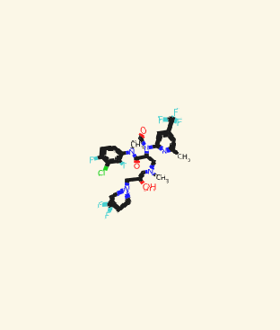 Cc1cc(C(F)(F)F)cc(N(C=O)C(CN(C)CC(O)CN2CCC(F)(F)C2)C(=O)N(C)c2ccc(F)c(Cl)c2F)n1